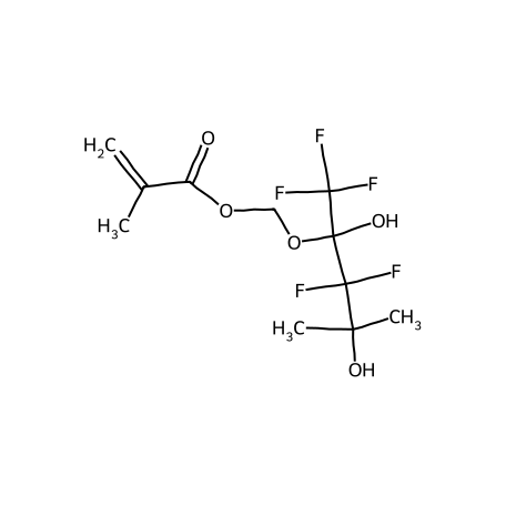 C=C(C)C(=O)OCOC(O)(C(F)(F)F)C(F)(F)C(C)(C)O